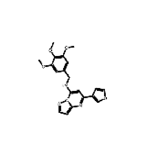 COc1cc(CNc2cc(-c3ccoc3)nc3ccnn23)cc(OC)c1OC